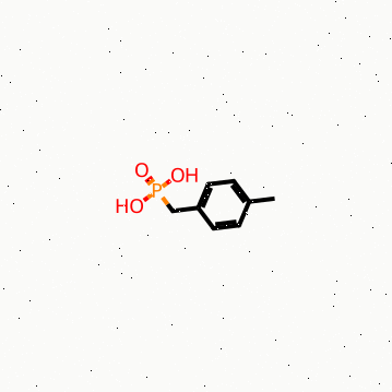 Cc1ccc(CP(=O)(O)O)cc1